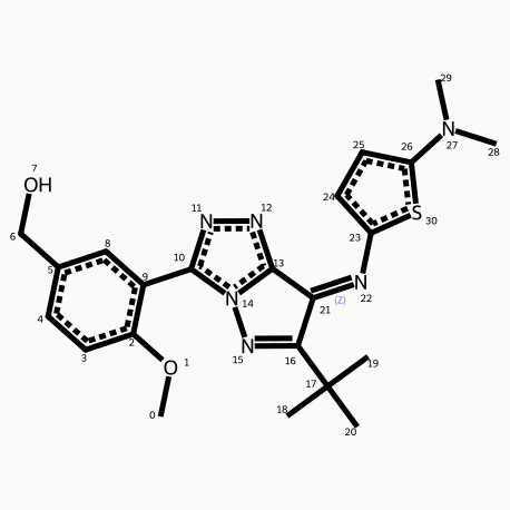 COc1ccc(CO)cc1-c1nnc2n1N=C(C(C)(C)C)/C2=N/c1ccc(N(C)C)s1